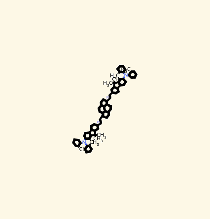 Cc1ccccc1N(c1ccc2c(c1)C(C)(C)c1cc(/C=C/c3ccc4ccc5c(/C=C/c6ccc7c(c6)C(C)(C)c6cc(N(c8ccccc8C)c8ccccc8C)ccc6-7)ccc6ccc3c4c65)ccc1-2)c1ccccc1C